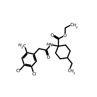 CCOC(=O)C1(NC(=O)Cc2cc(Cl)c(Cl)cc2C)CCC(CC)CC1